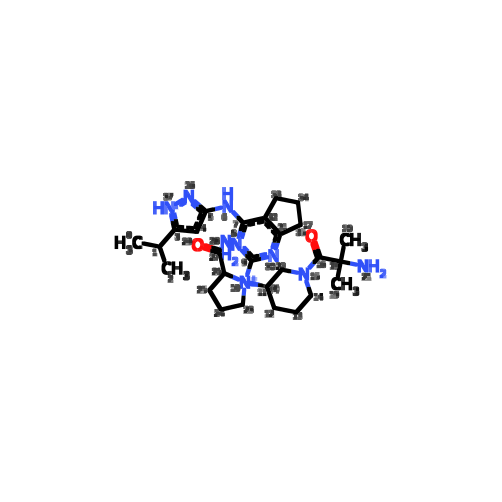 CC(C)c1cc(Nc2nc([N+]3([C@@H]4CCCN(C(=O)C(C)(C)N)C4)CCCC3C(N)=O)nc3c2CCC3)n[nH]1